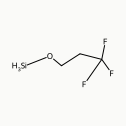 FC(F)(F)CCO[SiH3]